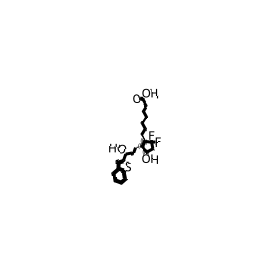 O=C(O)CCCCCC[C@@H]1[C@@H](CCC(O)c2cc3ccccc3s2)[C@H](O)CC1(F)F